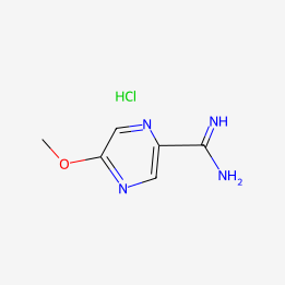 COc1cnc(C(=N)N)cn1.Cl